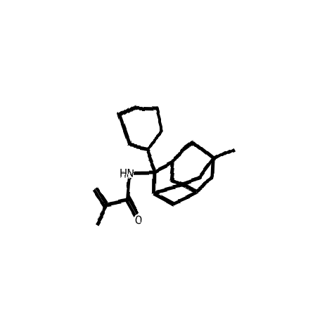 C=C(C)C(=O)NC1(C2CCCCC2)C2CC3CC1CC(C)(C3)C2